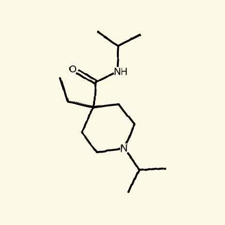 CCC1(C(=O)NC(C)C)CCN(C(C)C)CC1